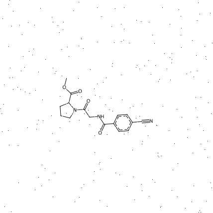 COC(=O)C1CCCN1C(=O)CNC(=O)c1ccc(C#N)cc1